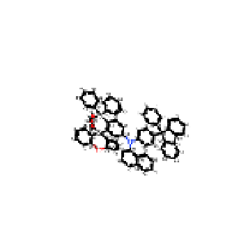 c1ccc(C2(c3ccc(N(c4ccc5c(c4)[Si]4(c6ccccc6Oc6ccccc64)c4ccccc4[Si]5(c4ccccc4)c4ccccc4)c4cccc5ccccc45)cc3)c3ccccc3-c3ccccc32)cc1